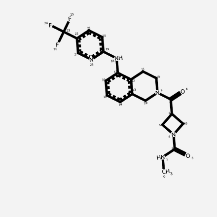 CNC(=O)N1CC(C(=O)N2CCc3c(cccc3Nc3ccc(C(F)(F)F)cn3)C2)C1